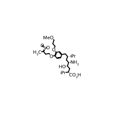 COCCCOc1cc(C[C@@H](C[C@H](N)[C@@H](O)C[C@H](C(=O)O)C(C)C)C(C)C)ccc1OCCC(C)=S(=O)=O